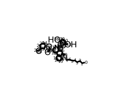 CCCCCCCCn1cc2c3c(cccc31)C1=C[C@@H](C(=O)OC3CCCC(OC)C3)CN(C)[C@@H]1C2.O=C(O)/C=C\C(=O)O